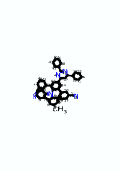 Cc1ccc2c(c1)c1ccccc1n2-c1c(-c2cccc(C#N)c2)cc(-c2cc(-c3ccccc3)nc(-c3ccccc3)n2)cc1-c1cccc(C#N)c1